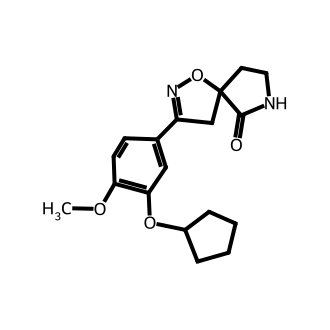 COc1ccc(C2=NOC3(CCNC3=O)C2)cc1OC1CCCC1